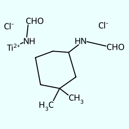 CC1(C)CCCC(NC=O)C1.O=C[NH][Ti+2].[Cl-].[Cl-]